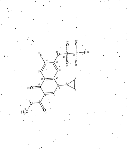 COC(=O)c1cn(C2CC2)c2cc(OS(=O)(=O)C(F)(F)F)c(F)cc2c1=O